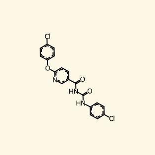 O=C(NC(=O)c1ccc(Oc2ccc(Cl)cc2)nc1)Nc1ccc(Cl)cc1